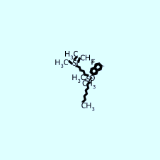 CCCCCCCCC[Si](CCCCCC[Si](CCC)(CCC)CCC)(Oc1ccc2c(F)c[c]cc2c1)C(C)C